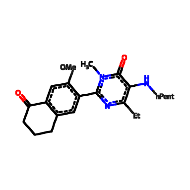 CCCCCNc1c(CC)nc(-c2cc3c(cc2OC)C(=O)CCC3)n(C)c1=O